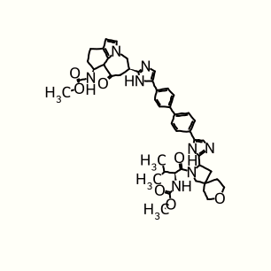 COC(=O)N[C@H]1CCc2ccn3c2C1C(=O)C[C@H](c1ncc(-c2ccc(-c4ccc(-c5cnc(C6CC7(CCOCC7)CN6C(=O)[C@@H](NC(=O)OC)C(C)C)[nH]5)cc4)cc2)[nH]1)C3